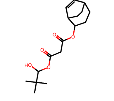 CC(C)(C)C(O)OC(=O)CC(=O)OC1CCC2C=CC1CC2